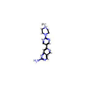 CC(C)N1CCN(c2ncc(-c3cc4nc(N)ncc4cn3)cn2)CC1